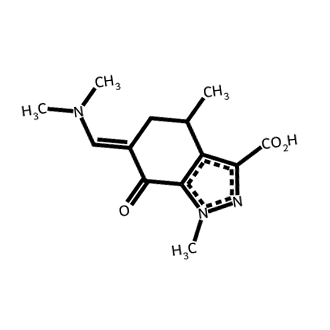 CC1CC(=CN(C)C)C(=O)c2c1c(C(=O)O)nn2C